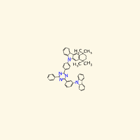 CC1(C)CCC(C)(C)c2cc3c(cc21)c1ccccc1n3-c1ccc(-c2nc(-c3ccccc3)nc(-c3cccc(-n4c5ccccc5c5ccccc54)c3)n2)cc1